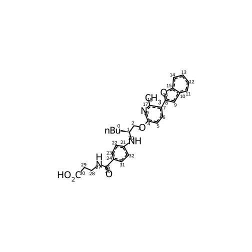 CCCC[C@@H](COc1ccc(-c2cc3ccccc3o2)c(C)n1)Nc1ccc(C(=O)NCCC(=O)O)cc1